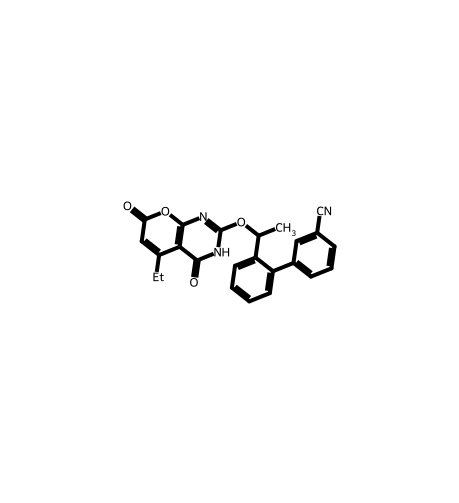 CCc1cc(=O)oc2nc(OC(C)c3ccccc3-c3cccc(C#N)c3)[nH]c(=O)c12